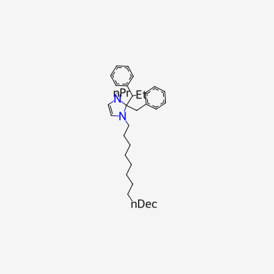 CCCCCCCCCCCCCCCCCCN1C=CN(CCC)C1(Cc1ccccc1)C(CC)c1ccccc1